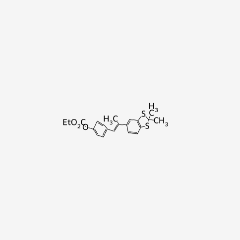 CCOC(=O)Oc1ccc(C=C(C)c2ccc3c(c2)SC(C)(C)S3)cc1